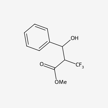 COC(=O)C(C(O)c1ccccc1)C(F)(F)F